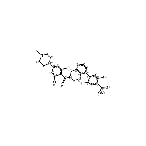 COC(=O)c1cc(F)c(-c2cccc3c2OCN(C(=O)c2c(Cl)cc(N4CCN(C)CC4)cc2Cl)C3)cc1F